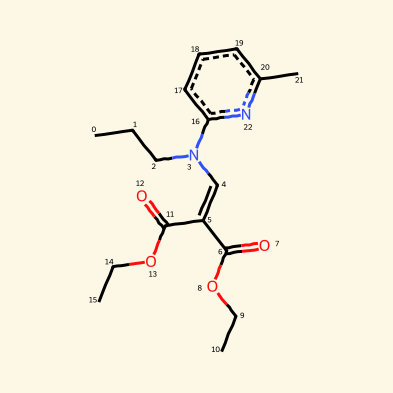 CCCN(C=C(C(=O)OCC)C(=O)OCC)c1cccc(C)n1